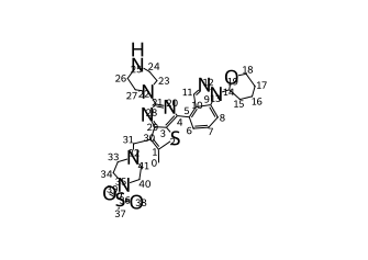 Cc1sc2c(-c3cccc4c3cnn4C3CCCCO3)nc(N3CCNCC3)nc2c1CN1CCN(S(C)(=O)=O)CC1